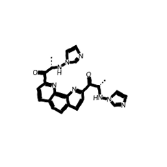 C[C@H](Nn1ccnc1)C(=O)c1ccc2ccc3ccc(C(=O)[C@H](C)Nn4ccnc4)nc3c2n1